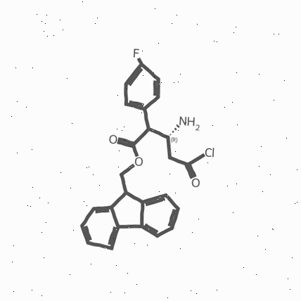 N[C@H](CC(=O)Cl)C(C(=O)OCC1c2ccccc2-c2ccccc21)c1ccc(F)cc1